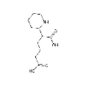 O=C(O)CCCC(C(=O)O)C1CCCCN1